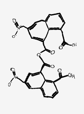 O=C(O)c1cccc2cc([N+](=O)[O-])cc(C(=O)OC(=O)c3cc([N+](=O)[O-])cc4cccc(C(=O)O)c34)c12